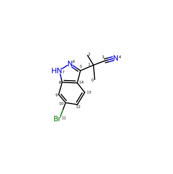 CC(C)(C#N)c1n[nH]c2cc(Br)ccc12